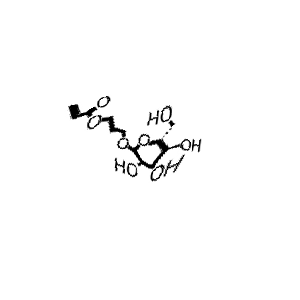 C=CC(=O)OCCCOC1O[C@H](CO)[C@@H](O)[C@H](O)[C@H]1O